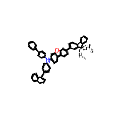 CC1(C)c2ccccc2-c2ccc(-c3ccc4c(c3)oc3cc(N(c5ccc(-c6ccccc6)cc5)c5ccc(-c6cccc7ccccc67)cc5)ccc34)cc21